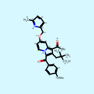 COc1ccc(C(=O)c2c(CC(C)(C)C(=O)O)c(C(=O)C(C)(C)C)c3cc(OCc4cccc(C)n4)ccn23)cc1